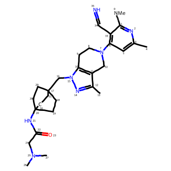 CNc1nc(C)cc(N2CCc3c(c(C)nn3CC34CCC(NC(=O)CN(C)C)(CC3)CC4)C2)c1C=N